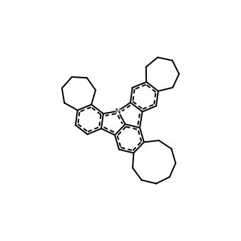 c1cc2c3cc4c(c5c6cc7c(cc6n(c2c2c1CCCCC2)c35)CCCCC7)CCCCCCC4